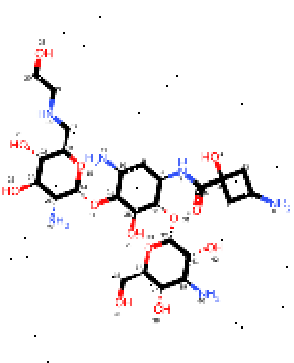 NC1CC(O)(C(=O)N[C@@H]2C[C@H](N)C(O[C@H]3O[C@H](CNCCO)[C@@H](O)[C@H](O)[C@H]3N)[C@H](O)[C@H]2O[C@H]2O[C@H](CO)[C@@H](O)[C@H](N)[C@H]2O)C1